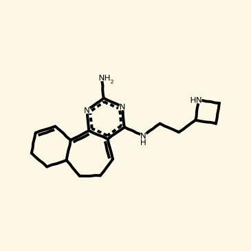 Nc1nc(NCCC2CCN2)c2c(n1)=C1C=CCCC1CCC=2